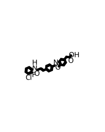 O=C(O)Cc1ccc2oc(-c3ccc(C=CC(=O)Nc4cccc(Cl)c4F)cc3)nc2c1